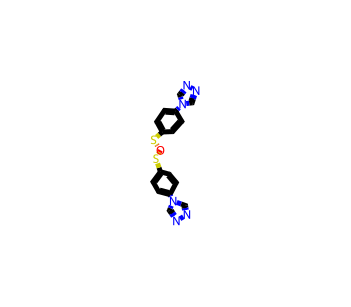 c1cc(-n2cnnc2)ccc1SOSc1ccc(-n2cnnc2)cc1